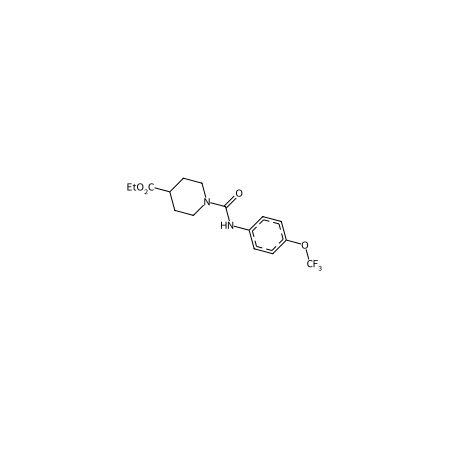 CCOC(=O)C1CCN(C(=O)Nc2ccc(OC(F)(F)F)cc2)CC1